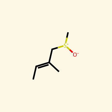 C/C=C(\C)C[S+](C)[O-]